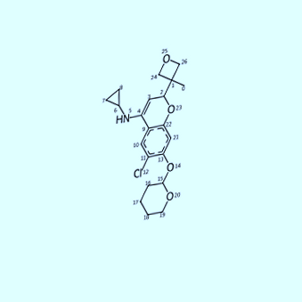 CC1(C2C=C(NC3CC3)c3cc(Cl)c(OC4CCCCO4)cc3O2)COC1